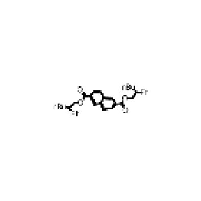 CCCCC(CC)COC(=O)c1ccc2cc(C(=O)OCC(CC)CCCC)ccc2c1